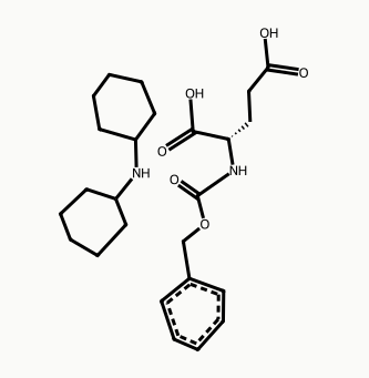 C1CCC(NC2CCCCC2)CC1.O=C(O)CC[C@H](NC(=O)OCc1ccccc1)C(=O)O